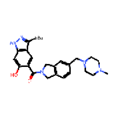 CCCCc1n[nH]c2cc(O)c(C(=O)N3Cc4ccc(CN5CCN(C)CC5)cc4C3)cc12